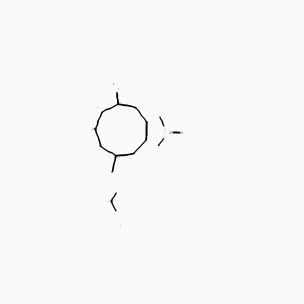 CC1CCCCC(N)CCC1.CN(C)C(=O)O.ClCCl